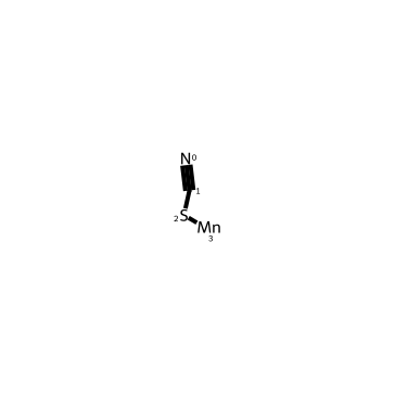 N#C[S][Mn]